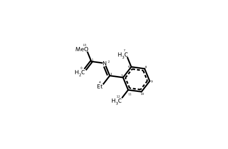 C=C(/N=C(\CC)c1c(C)cccc1C)OC